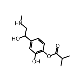 CNCC(O)c1ccc(OC(=O)C(C)C)c(O)c1